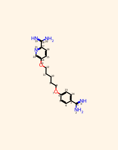 N=C(N)c1ccc(OCCCCCOc2ccc(C(=N)N)nc2)cc1